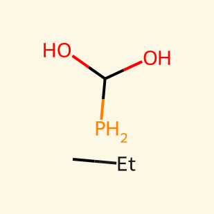 CCC.OC(O)P